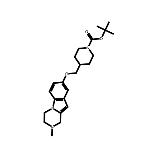 CN1CCn2c(cc3cc(OCC4CCN(C(=O)OC(C)(C)C)CC4)ccc32)C1